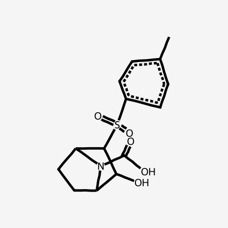 Cc1ccc(S(=O)(=O)C2C(O)C3CCC2N3C(=O)O)cc1